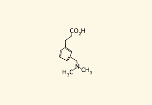 CN(C)Cc1cccc(CCC(=O)O)c1